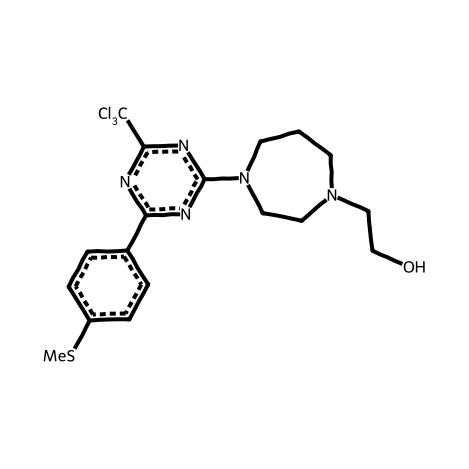 CSc1ccc(-c2nc(N3CCCN(CCO)CC3)nc(C(Cl)(Cl)Cl)n2)cc1